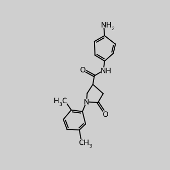 Cc1ccc(C)c(N2CC(C(=O)Nc3ccc(N)cc3)CC2=O)c1